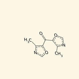 Cc1ncoc1C(=O)c1ocnc1C